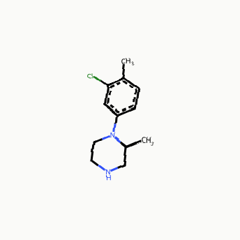 Cc1ccc(N2CCNCC2C)cc1Cl